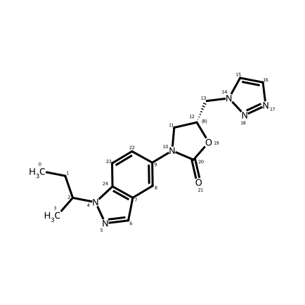 CCC(C)n1ncc2cc(N3C[C@H](Cn4ccnn4)OC3=O)ccc21